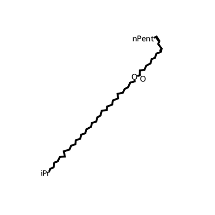 CCCCC/C=C\C/C=C\CCCCCCCC(=O)OCCCCCCCCCCCCCCCCCCCCCCCCCCCCCCCCC(C)C